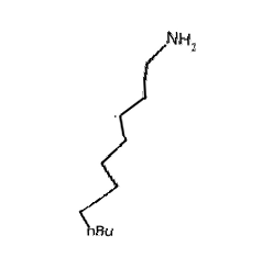 CCCCCCCC[CH]CCN